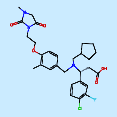 Cc1cc(CN(CC2CCCC2)[C@H](CC(=O)O)c2ccc(Cl)c(F)c2)ccc1OCCN1C(=O)CN(C)C1=O